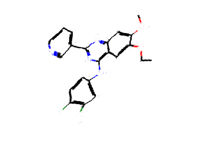 CCOc1cc2c(Nc3ccc(F)c(Cl)c3)nc(-c3cccnc3)nc2cc1OC